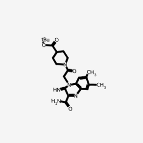 Cc1cc2nc(C(N)=O)c(=N)n(CC(=O)N3CCC(C(=O)OC(C)(C)C)CC3)c2cc1C